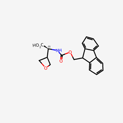 O=C(N[C@H](C(=O)O)C1COC1)OCC1c2ccccc2-c2ccccc21